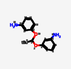 CC(C)(C)C(Oc1cccc(N)c1)Oc1cccc(N)c1